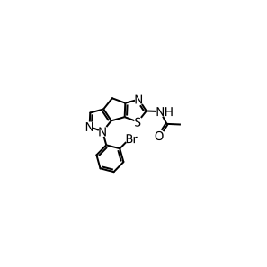 CC(=O)Nc1nc2c(s1)-c1c(cnn1-c1ccccc1Br)C2